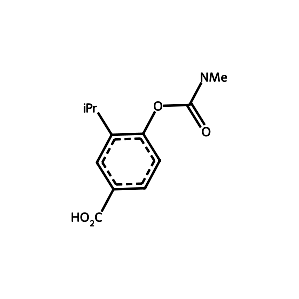 CNC(=O)Oc1ccc(C(=O)O)cc1C(C)C